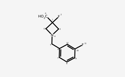 O=C(O)C1(F)CN(Cc2cc[c]c(F)c2)C1